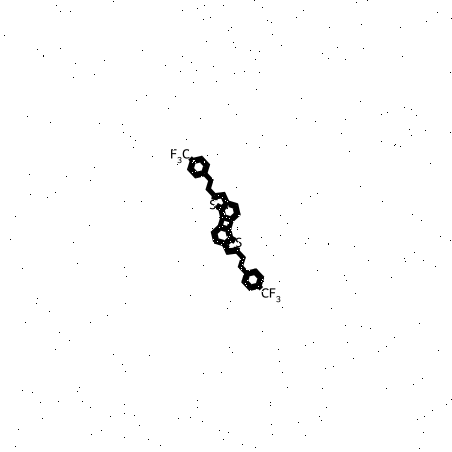 FC(F)(F)c1ccc(CCc2cc3ccc4c(c3s2)-c2ccc3cc(CCc5ccc(C(F)(F)F)cc5)sc3c2-4)cc1